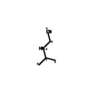 CC(C)NCC#N